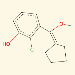 COC(=C1CCCC1)c1cccc(O)c1Cl